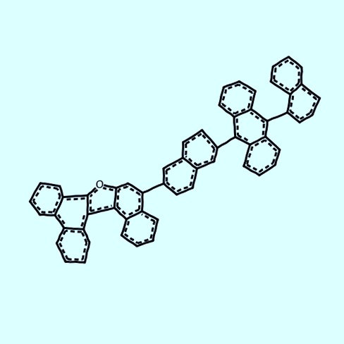 c1ccc2c(-c3c4ccccc4c(-c4ccc5cc(-c6cc7oc8c9ccccc9c9ccccc9c8c7c7ccccc67)ccc5c4)c4ccccc34)cccc2c1